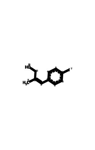 CC(=Cc1ccc(I)cc1)CO